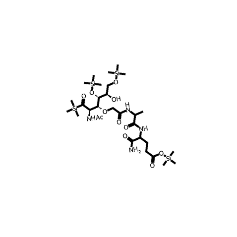 CC(=O)N[C@@H](C(=O)[Si](C)(C)C)[C@@H](OCC(=O)NC(C)C(=O)NC(CCC(=O)O[Si](C)(C)C)C(N)=O)[C@H](O[Si](C)(C)C)[C@H](O)CO[Si](C)(C)C